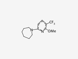 COc1nc(N2CCCCCC2)ccc1C(F)(F)F